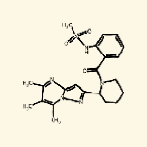 Cc1nc2cc([C@@H]3CCCCN3C(=O)c3ccccc3NS(C)(=O)=O)nn2c(C)c1C